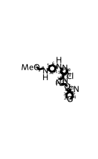 COCCNC1CCC(Nc2cc(-c3cncc(OCC4(C#N)CCOCC4)n3)c(Cl)cn2)CC1